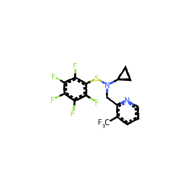 Fc1c(F)c(F)c(SN(Cc2ncccc2C(F)(F)F)C2CC2)c(F)c1F